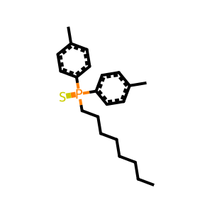 CCCCCCCCP(=S)(c1ccc(C)cc1)c1ccc(C)cc1